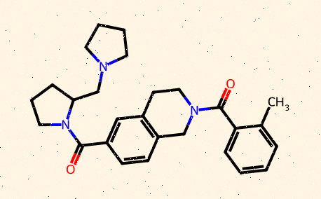 Cc1ccccc1C(=O)N1CCc2cc(C(=O)N3CCCC3CN3CCCC3)ccc2C1